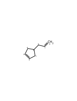 C=CCC1CC=CC1